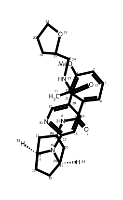 COc1cccc(C(=O)N[C@H]2C[C@H]3CC[C@@H](C2)N3c2ccc(C(=O)NCC3CCCO3)cn2)c1C